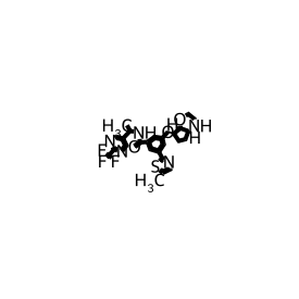 Cc1cnc(-c2cc(O[C@@H]3CC[C@@H]4NCCO[C@H]43)cc(C(=O)NC(C)c3cnc(C(F)(F)F)nc3)c2)s1